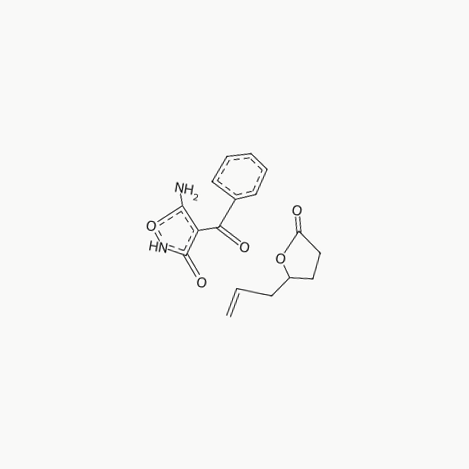 C=CCC1CCC(=O)O1.Nc1o[nH]c(=O)c1C(=O)c1ccccc1